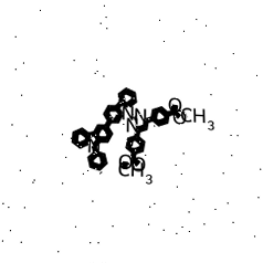 COC(=O)c1ccc(-c2cc(-c3ccc(C(=O)OC)cc3)nc(-n3c4ccccc4c4ccc(-c5ccc6c(c5)c5ccccc5n6-c5ccccc5)cc43)n2)cc1